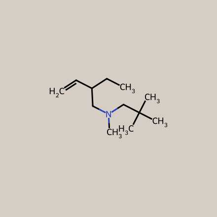 C=CC(CC)CN(C)CC(C)(C)C